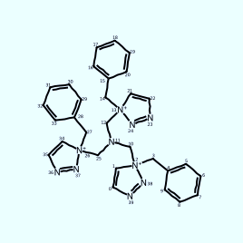 C1=C[N+](Cc2ccccc2)(CN(C[N+]2(Cc3ccccc3)C=CN=N2)C[N+]2(Cc3ccccc3)C=CN=N2)N=N1